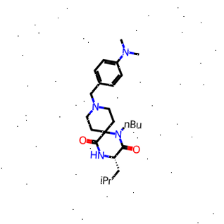 CCCCN1C(=O)[C@H](CC(C)C)NC(=O)C12CCN(Cc1ccc(N(C)C)cc1)CC2